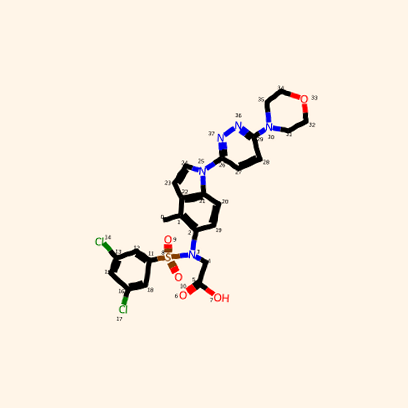 Cc1c(N(CC(=O)O)S(=O)(=O)c2cc(Cl)cc(Cl)c2)ccc2c1ccn2-c1ccc(N2CCOCC2)nn1